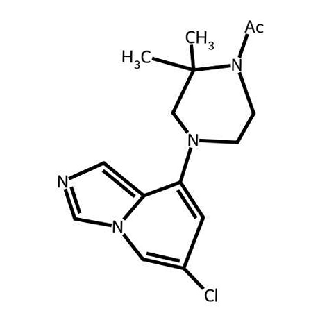 CC(=O)N1CCN(c2cc(Cl)cn3cncc23)CC1(C)C